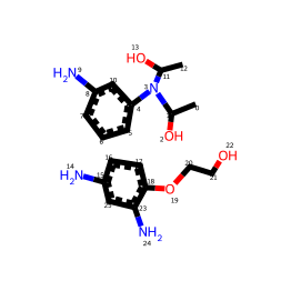 CC(O)N(c1cccc(N)c1)C(C)O.Nc1ccc(OCCO)c(N)c1